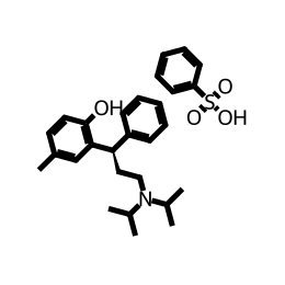 Cc1ccc(O)c([C@H](CCN(C(C)C)C(C)C)c2ccccc2)c1.O=S(=O)(O)c1ccccc1